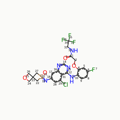 O=C(COc1cc(F)ccc1Nc1ncnc2cc(N=S3(=O)CC4(COC4)C3)cc(Cl)c12)NCC(F)(F)F